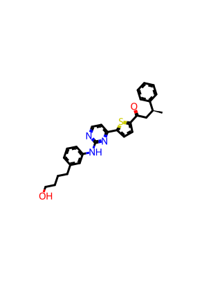 C[C@@H](CC(=O)c1ccc(-c2ccnc(Nc3cccc(CCCCO)c3)n2)s1)c1ccccc1